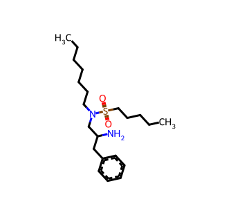 CCCCCCCN(CC(N)Cc1ccccc1)S(=O)(=O)CCCCC